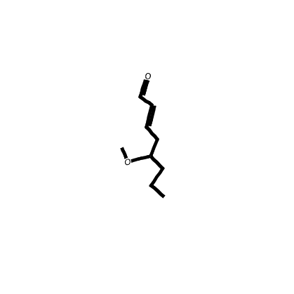 CCCC(CC=CC=O)OC